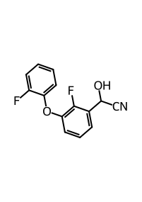 N#CC(O)c1cccc(Oc2ccccc2F)c1F